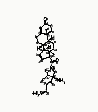 C[C@]12CCC(=O)C=C1CC[C@@H]1[C@H]2CC[C@]2(C)C(C(=O)NCC(N)(CCCN)C(F)F)CC[C@@H]12